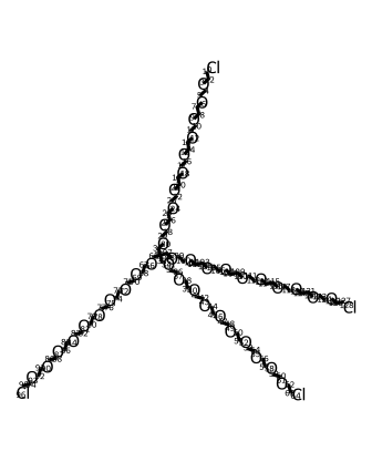 ClCCOCCOCCOCCOCCOCCOCCOCCOCCOCCOCC(COCCOCCOCCOCCOCCOCCOCCOCCOCCOCCCl)(COCCOCCOCCOCCOCCOCCOCCOCCOCCOCCCl)COCCOCCOCCOCCOCCOCCOCCOCCOCCOCCCl